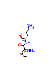 CC[C@H](C)[C@H](N)C(=O)N[C@H]([C]=O)CCCN